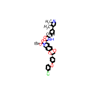 COC(=O)[C@H](Cc1ccc(-c2ccnc(C)c2C)cc1)NC(=O)[C@@H]1Cc2cc3c(cc2CN1C(=O)OC(C)(C)C)O[C@@H](c1ccc(Oc2cccc(Cl)c2)cc1)CO3